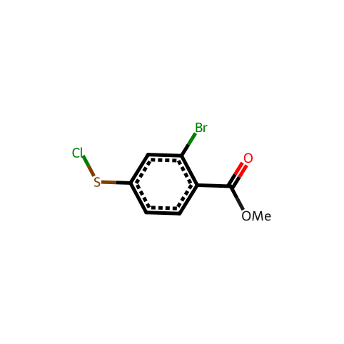 COC(=O)c1ccc(SCl)cc1Br